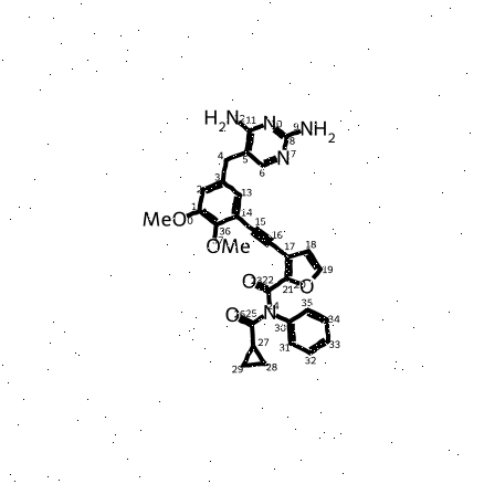 COc1cc(Cc2cnc(N)nc2N)cc(C#Cc2ccoc2C(=O)N(C(=O)C2CC2)c2ccccc2)c1OC